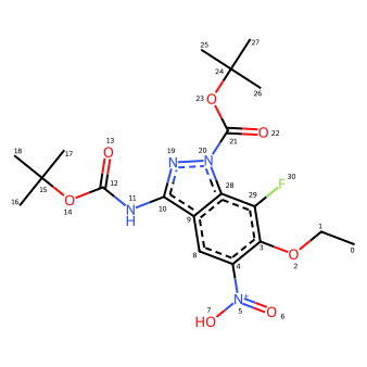 CCOc1c([N+](=O)O)cc2c(NC(=O)OC(C)(C)C)nn(C(=O)OC(C)(C)C)c2c1F